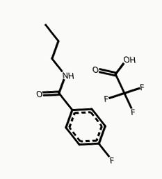 CCCNC(=O)c1ccc(F)cc1.O=C(O)C(F)(F)F